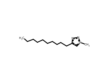 CCCCCCCCCCc1cn(C)nn1